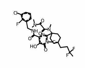 CN(C)C(=O)C(=O)N(C)C12CCC(CCC(C)(F)F)(CC1)Cn1c2nc(C(=O)NCc2cccc(Cl)c2F)c(O)c1=O